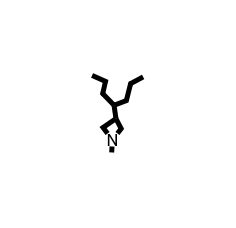 CCCC(CCC)C1CN(C)C1